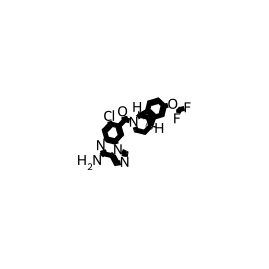 Nc1nc2cc(Cl)c(C(=O)N3CC[C@H]4C[C@@H]3c3ccc(OC(F)F)cc34)cc2n2cncc12